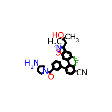 CC(C)(O)Cc1noc2cc(-c3c(-c4cccc(C(=O)N5CCC(N)C5)c4)ccc(C#N)c3F)c(F)cc12